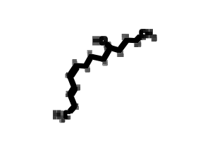 CCC=C/C=C\CCCC(O)CCCC